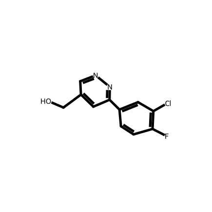 OCc1cnnc(-c2ccc(F)c(Cl)c2)c1